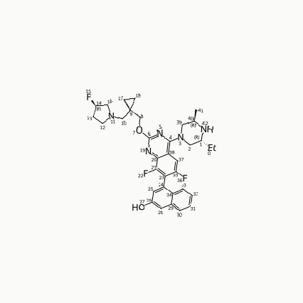 CC[C@@H]1CN(c2nc(OCC3(CN4CC[C@@H](F)C4)CC3)nc3c(F)c(-c4cc(O)cc5ccccc45)c(F)cc23)C[C@@H](C)N1